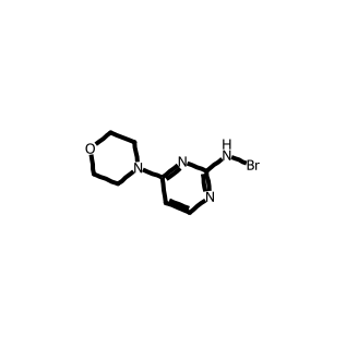 BrNc1nccc(N2CCOCC2)n1